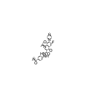 C[C@H]1COc2c(N3CCN(C)CC3)c(F)cc3c(=O)c(C(=O)NNc4ccc(C(=O)N(C)C)cc4)cn1c23